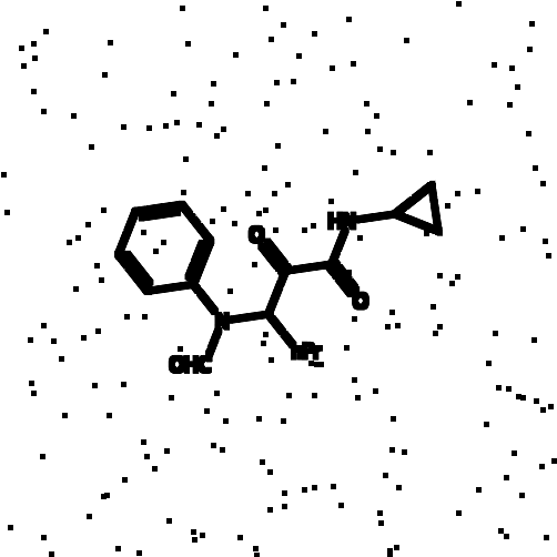 CCCC(C(=O)C(=O)NC1CC1)N(C=O)c1ccccc1